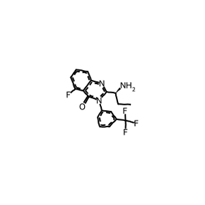 CC[C@H](N)c1nc2cccc(F)c2c(=O)n1-c1cccc(C(F)(F)F)c1